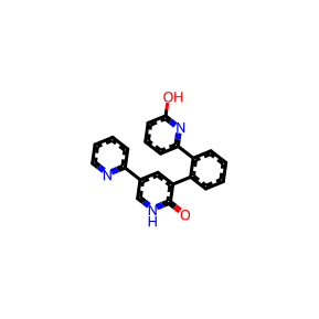 O=c1[nH]cc(-c2ccccn2)cc1-c1ccccc1-c1cccc(O)n1